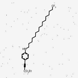 CCOC(=O)C#Cc1ccc(NCCCCCCCCCCCCCCCC(F)(F)F)cc1